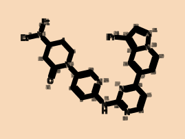 CCN(CC)C1CCN(c2ccc(Nc3nccc(-c4ccn5ncc(C(C)C)c5c4)n3)nc2)C(=O)C1